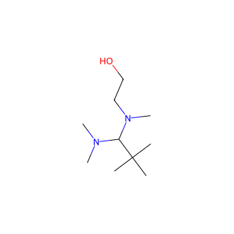 CN(C)C(N(C)CCO)C(C)(C)C